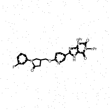 CCCn1c(=O)c2[nH]c(-c3ccc(OCC4CC(=O)N(c5cccc(F)c5)C4)nc3)nc2n(CCC)c1=O